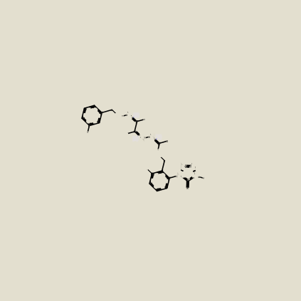 CC/C(=N/N=C(C)\C(C)=N/OCc1cccc(C)c1)OCc1c(C)cccc1-n1nnn(C)c1=O